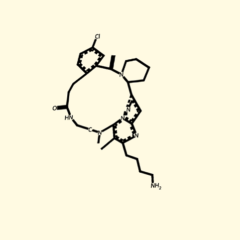 C=C1c2cc(Cl)ccc2CCC(=O)NCCN(C)c2c(C)c(CCCCN)nc3cc(nn23)C2CCCCN12